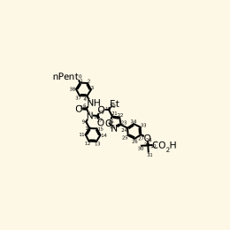 CCCCCc1ccc(NC(=O)N(Cc2ccccc2)C(=O)OC(CC)c2cc(-c3ccc(OC(C)(C)C(=O)O)cc3)no2)cc1